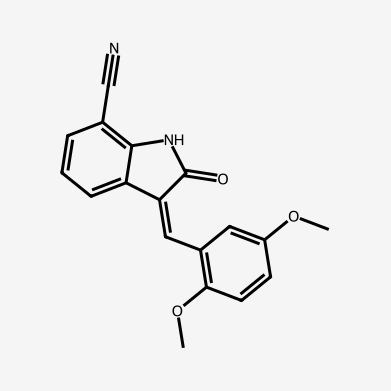 COc1ccc(OC)c(C=C2C(=O)Nc3c(C#N)cccc32)c1